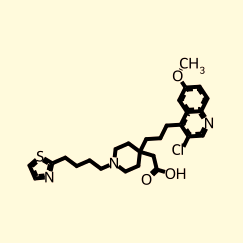 COc1ccc2ncc(Cl)c(CCCC3(CC(=O)O)CCN(CCCCc4nccs4)CC3)c2c1